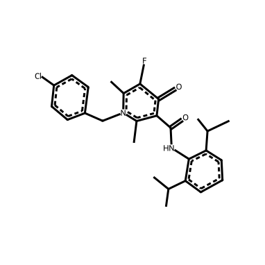 Cc1c(F)c(=O)c(C(=O)Nc2c(C(C)C)cccc2C(C)C)c(C)n1Cc1ccc(Cl)cc1